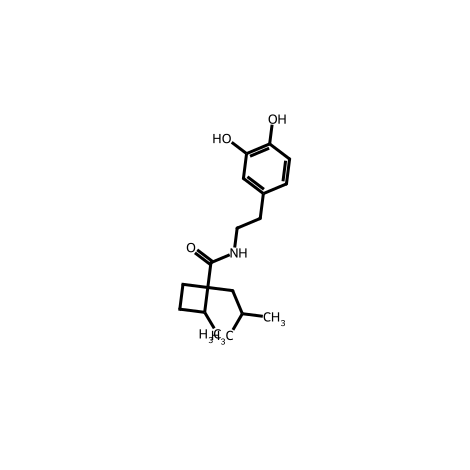 CC(C)CC1(C(=O)NCCc2ccc(O)c(O)c2)CCC1C